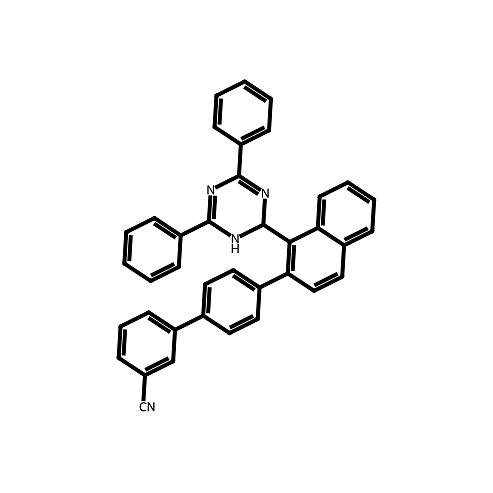 N#Cc1cccc(-c2ccc(-c3ccc4ccccc4c3C3N=C(c4ccccc4)N=C(c4ccccc4)N3)cc2)c1